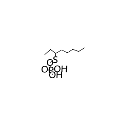 CCCCCC(CC)SOP(=O)(O)O